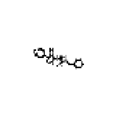 O=C(CCC1CCCCC1)Nc1nnc(-c2ccncc2)[nH]1